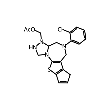 CC(=O)OCN1NCN2c3sc4c(c3CN(c3ccccc3Cl)CC12)CC=C4